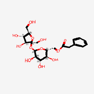 O=C(Cc1ccccc1)OC[C@H]1O[C@H](O[C@]2(CO)O[C@H](CO)[C@@H](O)[C@@H]2O)[C@H](O)[C@@H](O)[C@@H]1O